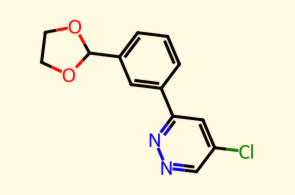 Clc1cnnc(-c2cccc(C3OCCO3)c2)c1